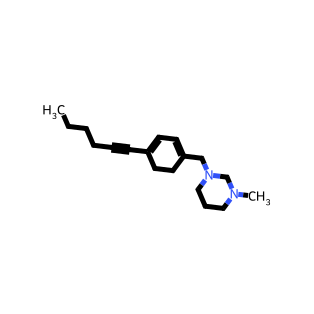 CCCCC#CC1=CC=C(CN2CCCN(C)C2)CC1